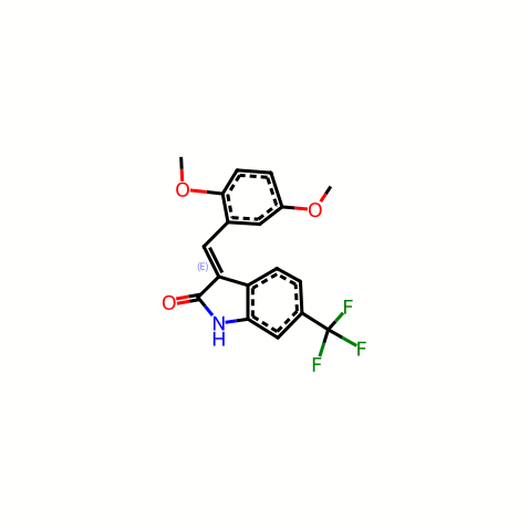 COc1ccc(OC)c(/C=C2/C(=O)Nc3cc(C(F)(F)F)ccc32)c1